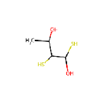 CC(O)C(S)C(O)S